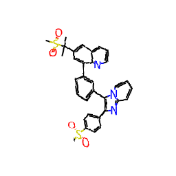 CC(C)(c1cc(-c2cccc(-c3c(-c4ccc(S(C)(=O)=O)cc4)nc4ccccn34)c2)c2ncccc2c1)S(C)(=O)=O